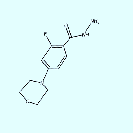 NNC(=O)c1ccc(N2CCOCC2)cc1F